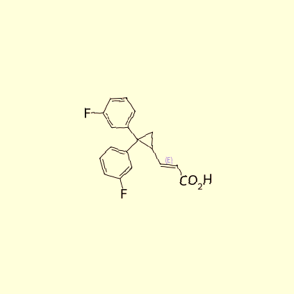 O=C(O)/C=C/C1CC1(c1cccc(F)c1)c1cccc(F)c1